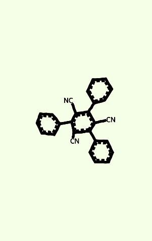 N#Cc1c(-c2ccccc2)c(C#N)c(-c2ccccc2)c(C#N)c1-c1ccccc1